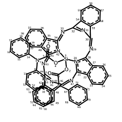 O=C(O[Si]1(OC(=O)N(c2ccccc2)c2ccccc2)n2c3c4ccccc4c2/N=C2N=C(/N=c4/c5ccccc5/c(n41)=N/C1=NC(=N\3)/c3ccccc31)c1ccccc1\2)N(c1ccccc1)c1ccccc1